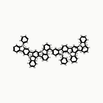 c1ccc(-n2c3ccccc3c3cc4c(cc32)c2cc3c(c5cccc6c7c(-c8ccc9c(c8)c8ccc%10c%11cc%12c(c%13cccc%14c%15ccccc%15n%12c%14%13)c%12c%13ccccc%13n(c%11%12)c%10c8n9-c8ccccc8)cccc7n3c65)c3c5ccccc5n4c23)cc1